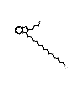 C/C=C/CC1=Cc2ccccc2C1CCCCCCCCCCCCCCC